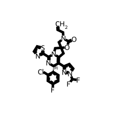 C=CCN1CC2(CC3=C(c4ccn(C(F)F)n4)[C@H](c4ccc(F)cc4Cl)N=C(c4nccs4)N3C2)OC1=O